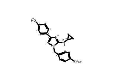 COc1ccc(Cn2nc(-c3ccc(O)cc3)nc2NC2CC2)cc1